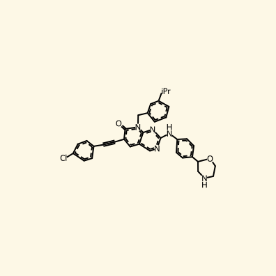 CC(C)c1cccc(Cn2c(=O)c(C#Cc3ccc(Cl)cc3)cc3cnc(Nc4ccc(C5CNCCO5)cc4)nc32)c1